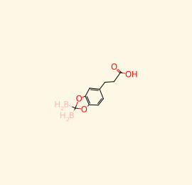 BC1(B)Oc2ccc(CCC(=O)O)cc2O1